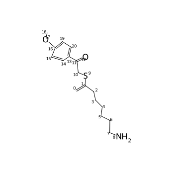 C=C(CCCCCCN)SCC(=O)c1ccc(OC)cc1